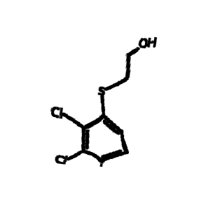 OCCSc1cc[c]c(Cl)c1Cl